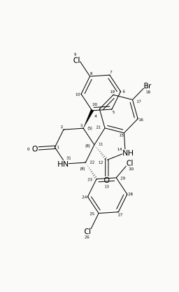 O=C1C[C@@H](c2cccc(Cl)c2)[C@]2(C(=O)Nc3cc(Br)ccc32)[C@H](c2cc(Cl)ccc2Cl)N1